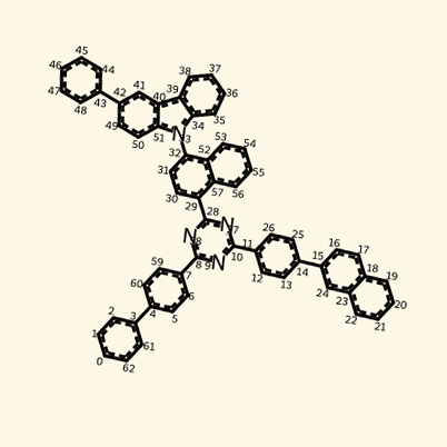 c1ccc(-c2ccc(-c3nc(-c4ccc(-c5ccc6ccccc6c5)cc4)nc(-c4ccc(-n5c6ccccc6c6cc(-c7ccccc7)ccc65)c5ccccc45)n3)cc2)cc1